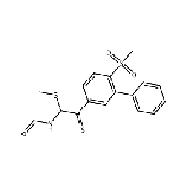 CSC(NC=O)C(=S)c1ccc(S(C)(=O)=O)c(-c2ccccc2)c1